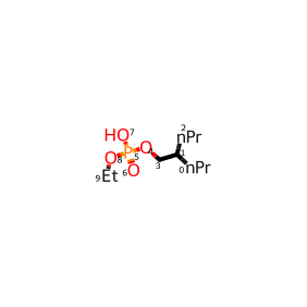 CCCC(CCC)COP(=O)(O)OCC